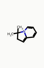 CC1(C)CC=C2C=CC=CN21